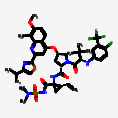 C=C[C@@H]1C[C@]1(NC(=O)[C@@H]1C[C@@H](Oc2cc(-c3nc(C(C)C)cs3)nc3c(C)c(OC)ccc23)CN1C(=O)[C@@H](Nc1ccc(F)c(C(F)(F)F)c1)C(C)(C)C)C(=O)NS(=O)(=O)N(C)C